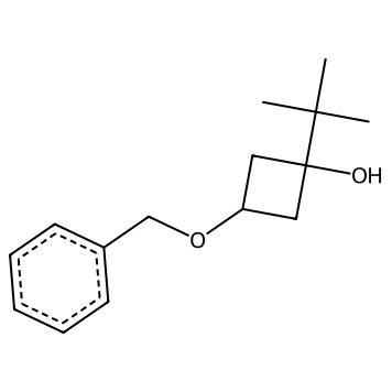 CC(C)(C)C1(O)CC(OCc2ccccc2)C1